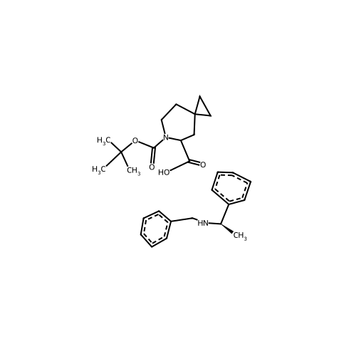 CC(C)(C)OC(=O)N1CCC2(CC2)CC1C(=O)O.C[C@@H](NCc1ccccc1)c1ccccc1